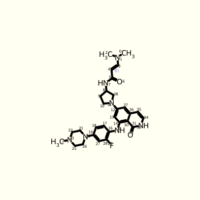 CN(C)/C=C/C(=O)NC1CCN(c2cc(Nc3ccc(N4CCN(C)CC4)cc3F)c3c(=O)[nH]ccc3c2)C1